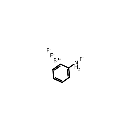 Nc1ccccc1.[B+3].[F-].[F-].[F-]